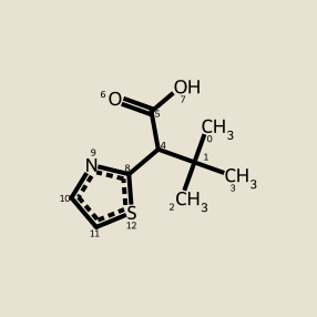 CC(C)(C)C(C(=O)O)c1nccs1